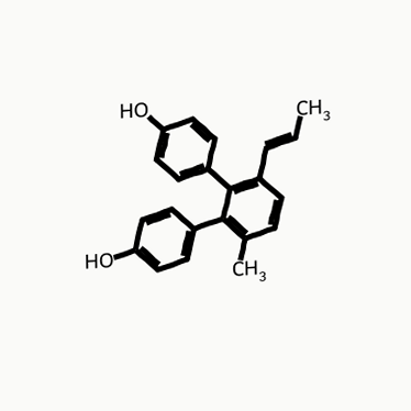 CC=Cc1ccc(C)c(-c2ccc(O)cc2)c1-c1ccc(O)cc1